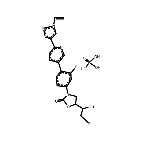 C=Cn1nnc(-c2ccc(-c3ccc(N4CC(C(O)CF)OC4=O)cc3F)cn2)n1.O=P(O)(O)O